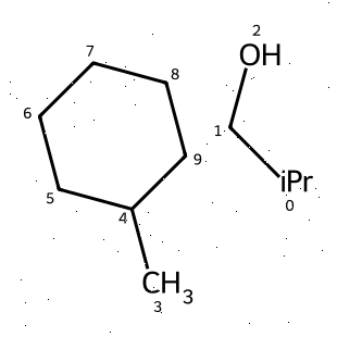 CC(C)CO.CC1CCCCC1